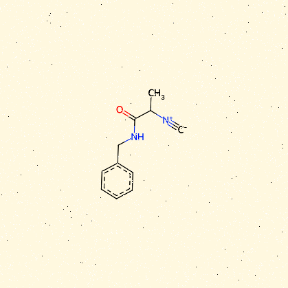 [C-]#[N+]C(C)C(=O)NCc1ccccc1